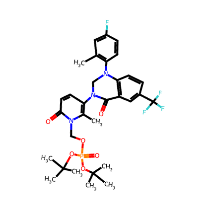 Cc1cc(F)ccc1N1CN(c2ccc(=O)n(COP(=O)(OC(C)(C)C)OC(C)(C)C)c2C)C(=O)c2cc(C(F)(F)F)ccc21